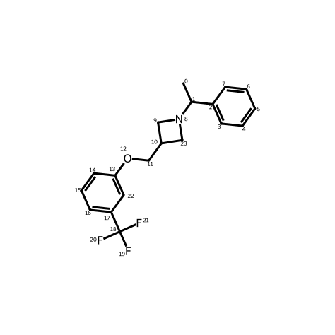 CC(c1ccccc1)N1CC(COc2cccc(C(F)(F)F)c2)C1